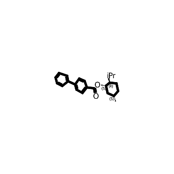 CC(C)[C@H]1CC[C@H](C)C[C@@H]1OC(=O)c1ccc(-c2ccccc2)cc1